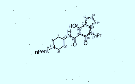 CCCCCN1CCC(NC(=O)c2c(O)c3ccsc3n(C(C)C)c2=O)CC1